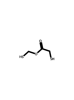 O=C(CS)OCS